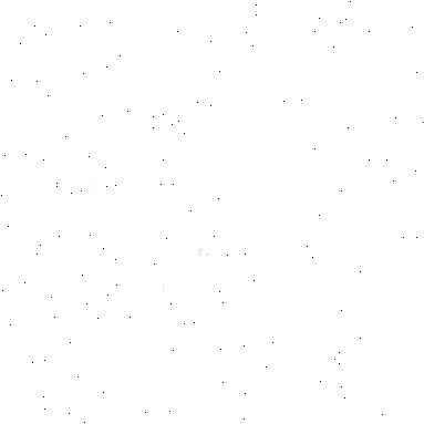 CC1(C)Cc2ccc(F)cc2/C(=C/C(=O)c2ccccc2O)N1